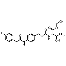 CC(O)[C@H](NC(=O)OCc1ccc(NC(=O)Cc2ccc(F)cc2)cc1)C(=O)OCC#N